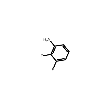 Nc1[c]ccc(F)c1F